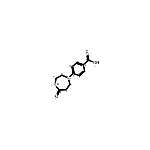 O=C1CCN(c2ccc(C(=O)O)cc2)CCN1